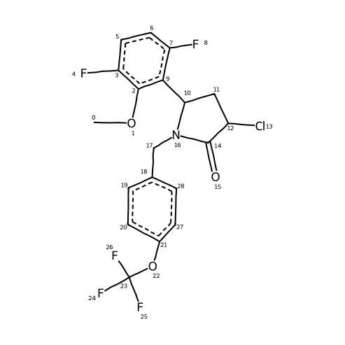 COc1c(F)ccc(F)c1C1CC(Cl)C(=O)N1Cc1ccc(OC(F)(F)F)cc1